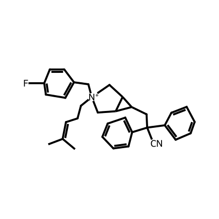 CC(C)=CCC[N+]1(Cc2ccc(F)cc2)CC2C(CC(C#N)(c3ccccc3)c3ccccc3)C2C1